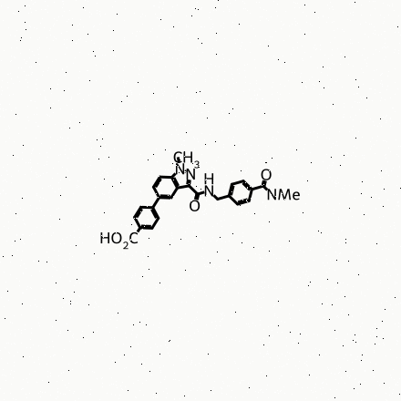 CNC(=O)c1ccc(CNC(=O)c2nn(C)c3ccc(-c4ccc(C(=O)O)cc4)cc23)cc1